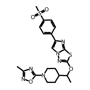 Cc1noc(N2CCC(C(C)Oc3nn4cc(-c5ccc(S(C)(=O)=O)cc5)nc4s3)CC2)n1